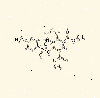 COC(=O)c1nc(C(=O)OC)c2cccnc2c1OS(=O)(=O)c1ccc(C)cc1